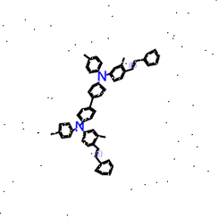 Cc1ccc(N(c2ccc(-c3ccc(N(c4ccc(C)cc4)c4ccc(/C=C/c5ccccc5)c(C)c4)cc3)cc2)c2ccc(/C=C/c3ccccc3)c(C)c2)cc1